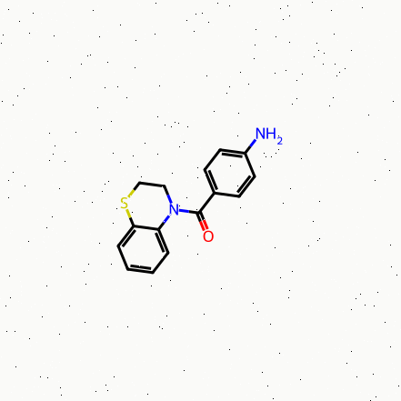 Nc1ccc(C(=O)N2CCSc3ccccc32)cc1